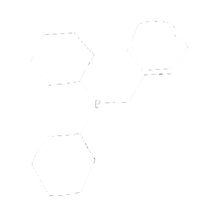 c1ccc(CB(C2CCCCC2)C2CCCCC2)cc1